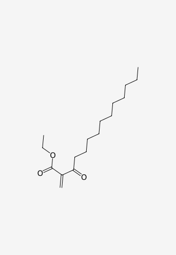 C=C(C(=O)CCCCCCCCCCC)C(=O)OCC